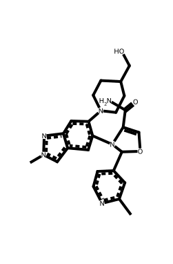 Cc1cc(C2OC=C(C(N)=O)N2c2cc3cn(C)nc3cc2N2CCC(CO)CC2)ccn1